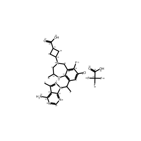 Cc1nn(C(C)c2cc(Cl)c(F)c3c2OC(C)CN(C2CC(C(=O)O)C2)C3)c2ncnc(N)c12.O=C(O)C(F)(F)F